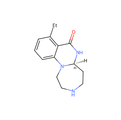 CCc1cccc2c1C(=O)N[C@H]1CCNCCN21